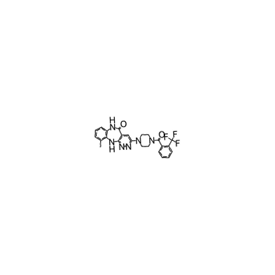 Cc1cccc2c1Nc1nnc(N3CCN(C(=O)c4ccccc4C(F)(F)F)CC3)cc1C(=O)N2